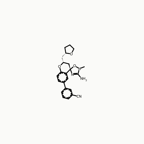 CN1O[C@]2(C[C@@H](C[C@@H]3CCCO3)Oc3ccc(-c4cccc(C#N)c4)cc32)N=C1N